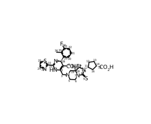 CCOC(=O)C1=C(CN2CCN3C(=S)N([C@@H]4CC[C@H](C(=O)O)C4)C[C@@H]3C2)NC(c2nccs2)=N[C@H]1c1cccc(F)c1C